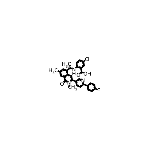 Cc1cc([C@@H](C)Nc2ccc(Cl)cc2C(=O)O)c2cc(-c3ccc(-c4ccc(F)cc4)nc3)n(C)c(=O)c2c1